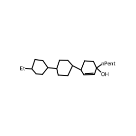 CCCCCC1(O)C=CC(C2CCC(C3CCC(CC)CC3)CC2)CC1